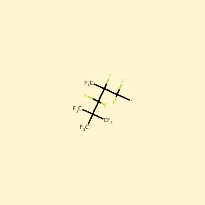 [CH2]C(F)(F)C(F)(C(F)(F)F)C(F)(F)C(C(F)(F)F)(C(F)(F)F)C(F)(F)F